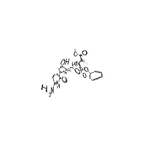 COC(=O)[C@H](C)NP(=O)(OC[C@H]1S[C@@H](n2ccc(N)nc2=O)C[C@H]1O)Oc1ccccc1